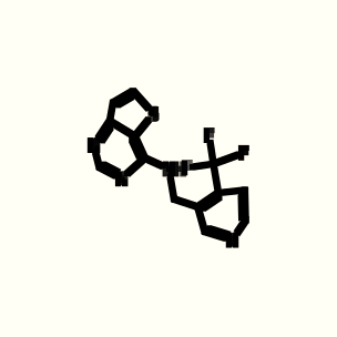 FC(F)(F)c1ccncc1CNc1ncnc2ccsc12